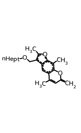 C=C1C=C(C)c2cc3c(COCCCCCCC)c(C)oc3c(C)c2O1